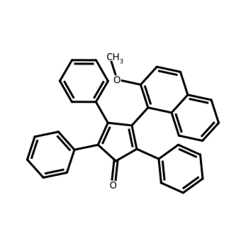 COc1ccc2ccccc2c1C1=C(c2ccccc2)C(=O)C(c2ccccc2)=C1c1ccccc1